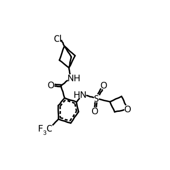 O=C(NC12CC(Cl)(C1)C2)c1cc(C(F)(F)F)ccc1NS(=O)(=O)C1COC1